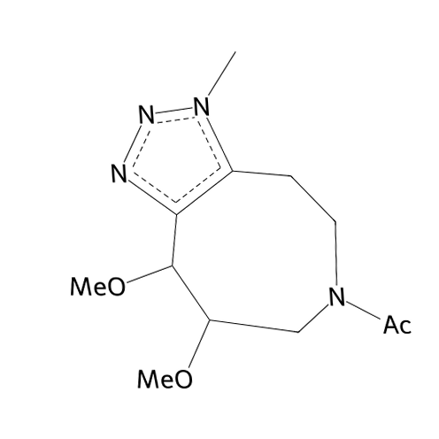 COC1CN(C(C)=O)CCc2c(nnn2C)C1OC